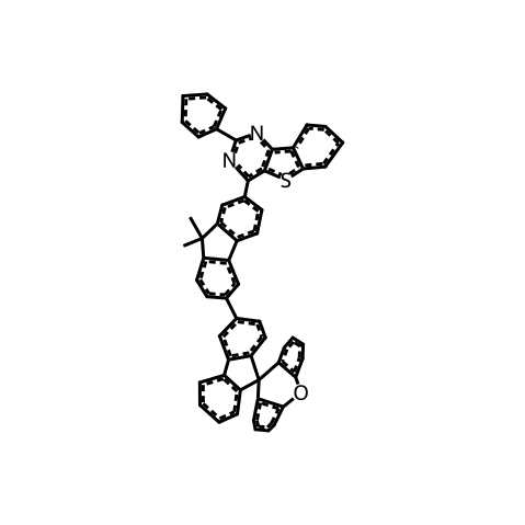 CC1(C)c2ccc(-c3ccc4c(c3)-c3ccccc3C43c4ccccc4Oc4ccccc43)cc2-c2ccc(-c3nc(-c4ccccc4)nc4c3sc3ccccc34)cc21